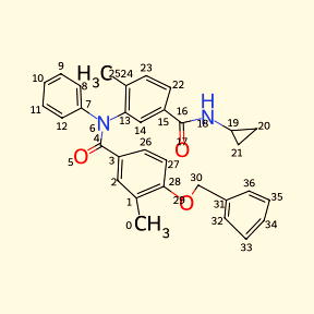 Cc1cc(C(=O)N(c2ccccc2)c2cc(C(=O)NC3CC3)ccc2C)ccc1OCc1ccccc1